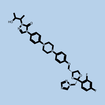 CC(O)C(C)n1ncn(-c2ccc(N3CCN(c4ccc(OC[C@@H]5CO[C@@](Cn6cncn6)(c6ccc(F)cc6F)O5)cc4)CC3)cc2)c1=O